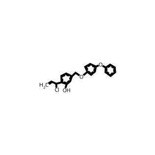 C=CC(Cl)c1ccc(COc2ccc(Oc3ccccc3)cc2)cc1O